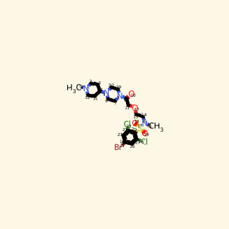 CN1CCC(N2CCN(C(=O)COCCN(C)S(=O)(=O)c3c(Cl)cc(Br)cc3Cl)CC2)CC1